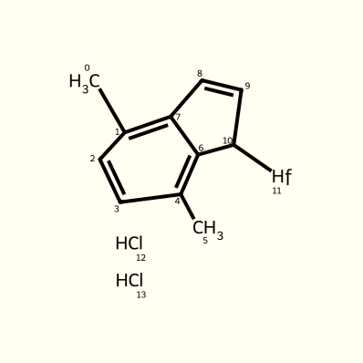 Cc1ccc(C)c2c1C=C[CH]2[Hf].Cl.Cl